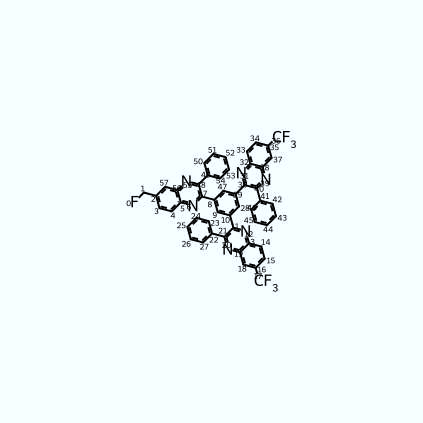 FCc1ccc2nc(-c3cc(-c4nc5ccc(C(F)(F)F)cc5nc4-c4ccccc4)cc(-c4nc5ccc(C(F)(F)F)cc5nc4-c4ccccc4)c3)c(-c3ccccc3)nc2c1